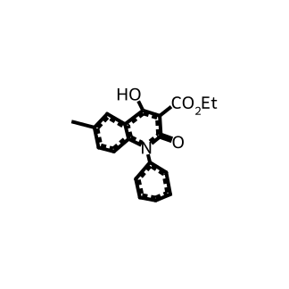 CCOC(=O)c1c(O)c2cc(C)ccc2n(-c2ccccc2)c1=O